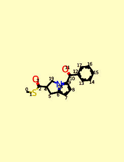 CSC(=O)C1Cc2ccc(C(=O)c3ccccc3)n2C1